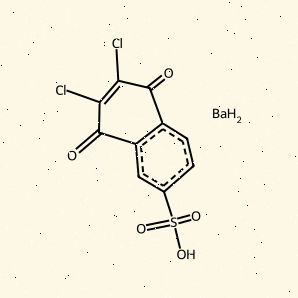 O=C1C(Cl)=C(Cl)C(=O)c2cc(S(=O)(=O)O)ccc21.[BaH2]